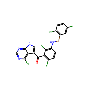 O=C(c1c(F)ccc(NSc2cc(F)ccc2F)c1F)c1c[nH]c2ncnc(Cl)c12